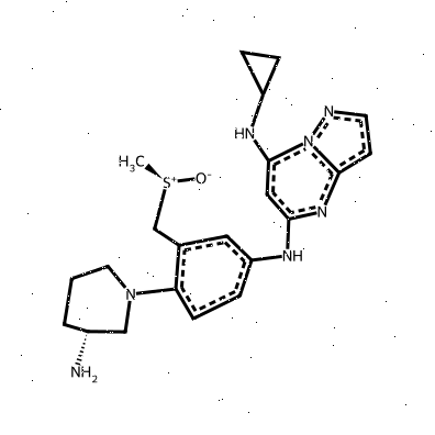 C[S@@+]([O-])Cc1cc(Nc2cc(NC3CC3)n3nccc3n2)ccc1N1CCC[C@@H](N)C1